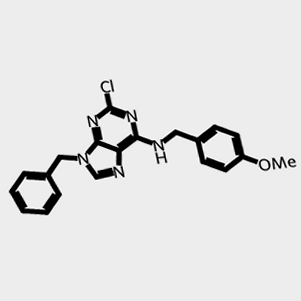 COc1ccc(CNc2nc(Cl)nc3c2ncn3Cc2ccccc2)cc1